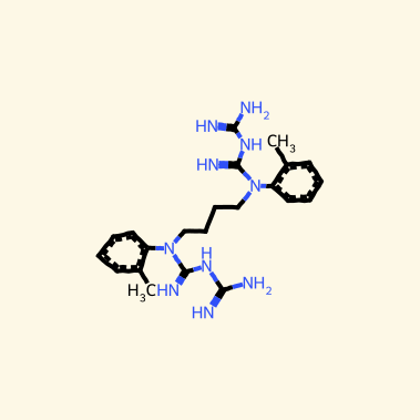 Cc1ccccc1N(CCCCN(C(=N)NC(=N)N)c1ccccc1C)C(=N)NC(=N)N